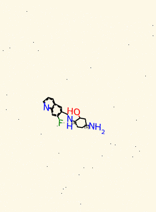 N[C@H]1CC[C@H](NCc2cc3cccnc3cc2F)C(O)C1